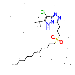 CCCCCCCCCCCCS(=O)(=O)CCCc1nnc2c(Cl)c(C(C)(C)C)[nH]n12